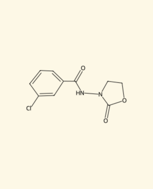 O=C(NN1CCOC1=O)c1cccc(Cl)c1